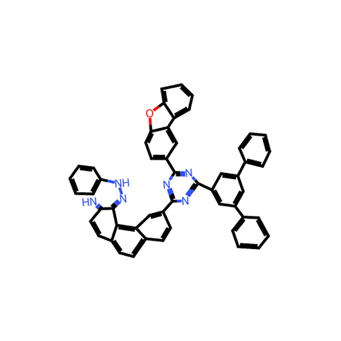 N=C1C=Cc2ccc3ccc(-c4nc(-c5cc(-c6ccccc6)cc(-c6ccccc6)c5)nc(-c5ccc6oc7ccccc7c6c5)n4)cc3c2/C1=N/Nc1ccccc1